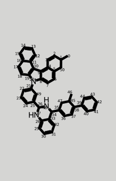 CC1C=Cc2c(ccc3c2c2c4ccccc4ccc2n3-c2cccc(C3Nc4ccccc4C(C4=CC=C(c5ccccc5)C(C)C4)N3)c2)C1